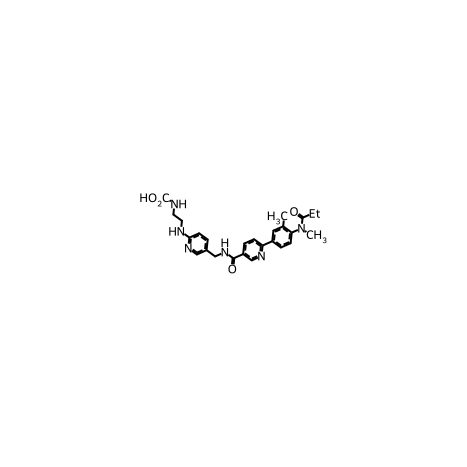 CCC(=O)N(C)c1ccc(-c2ccc(C(=O)NCc3ccc(NCCNC(=O)O)nc3)cn2)cc1C